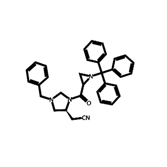 N#CC[C@H]1CN(Cc2ccccc2)CN1C(=O)C1CN1C(c1ccccc1)(c1ccccc1)c1ccccc1